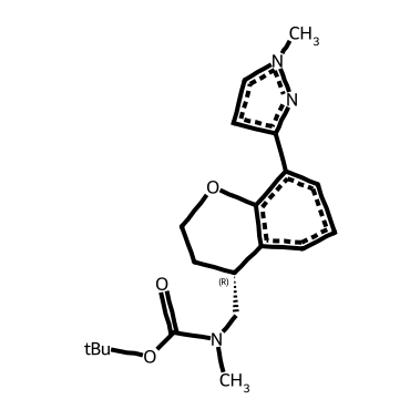 CN(C[C@@H]1CCOc2c(-c3ccn(C)n3)cccc21)C(=O)OC(C)(C)C